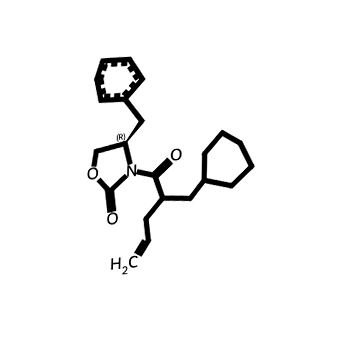 C=CCC(CC1CCCCC1)C(=O)N1C(=O)OC[C@H]1Cc1ccccc1